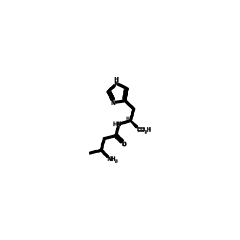 CC(N)CC(=O)N[C@@H](Cc1c[nH]cn1)C(=O)O